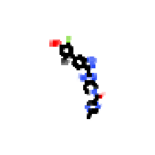 CCc1cc(O)c(F)cc1-c1ccc2c(-c3nc4c([nH]3)CCN(C(=O)c3cnc(C)cn3)C4)n[nH]c2c1